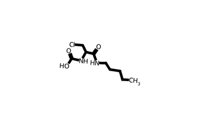 CCCCCNC(=O)C(CCl)NC(=O)O